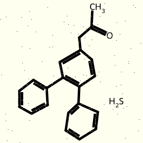 CC(=O)Cc1ccc(-c2ccccc2)c(-c2ccccc2)c1.S